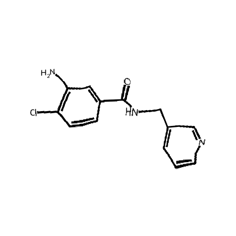 Nc1cc(C(=O)NCc2cccnc2)ccc1Cl